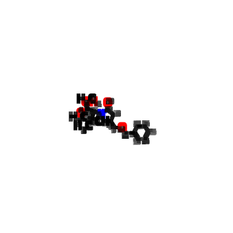 CC[C@](C(=O)O)(N1CC(COCc2ccccc2)CC1=O)C(C)(C)C